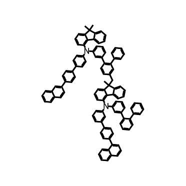 CC1(C)c2ccccc2-c2c(N(c3ccc(-c4ccc(-c5ccc6ccccc6c5)cc4)cc3)c3cccc(-c4ccc(CC5(C)c6ccccc6-c6c(N(c7cccc(-c8ccc(-c9cccc%10ccccc9%10)cc8)c7)c7cccc(-c8ccccc8-c8ccccc8)c7)cccc65)cc4-c4ccccc4)c3)cccc21